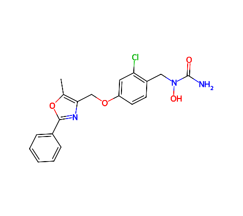 Cc1oc(-c2ccccc2)nc1COc1ccc(CN(O)C(N)=O)c(Cl)c1